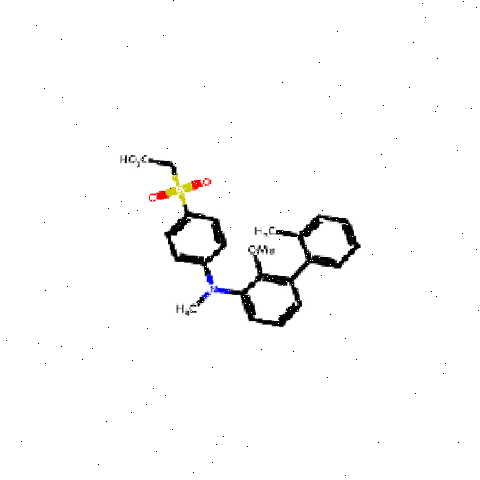 COc1c(-c2ccccc2C)cccc1N(C)c1ccc(S(=O)(=O)CC(=O)O)cc1